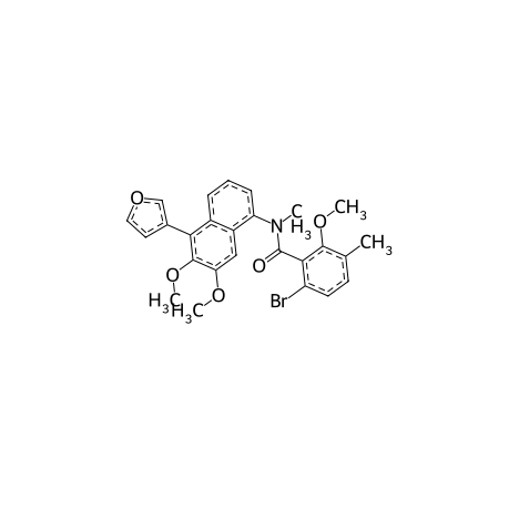 COc1cc2c(N(C)C(=O)c3c(Br)ccc(C)c3OC)cccc2c(-c2ccoc2)c1OC